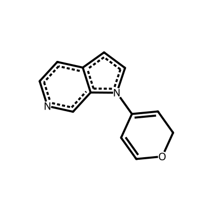 C1=CC(n2ccc3ccncc32)=CCO1